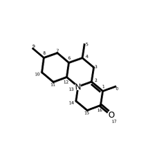 CC1=C2CC(C)C3CC(C)CCC3N2CCC1=O